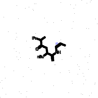 C=C(N/C=C\C)C(CCCC)CC(=O)C(C)C(C)C